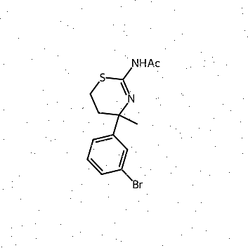 CC(=O)NC1=NC(C)(c2cccc(Br)c2)CCS1